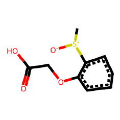 C[S+]([O-])c1ccccc1OCC(=O)O